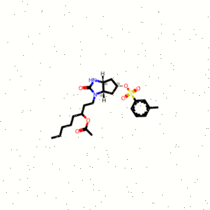 CCCCCC(CCN1C(=O)N[C@@H]2C[C@H](OS(=O)(=O)c3cccc(C)c3)C[C@@H]21)OC(C)=O